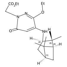 CCOC(=O)Cn1nc(OCC)c(N[C@@H]2C[C@@H]3C[C@H]([C@H]2C)C3(C)C)cc1=O